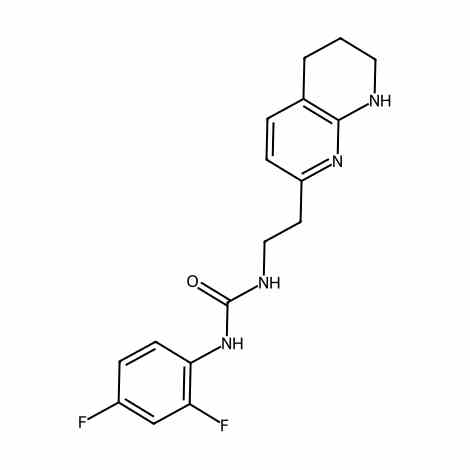 O=C(NCCc1ccc2c(n1)NCCC2)Nc1ccc(F)cc1F